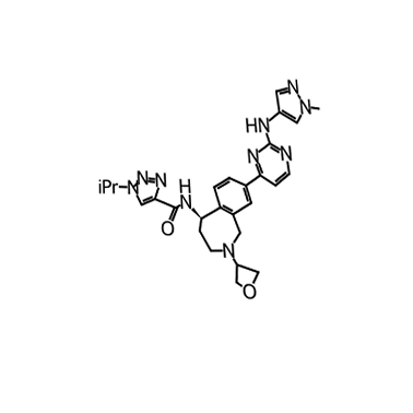 CC(C)n1cc(C(=O)N[C@@H]2CCN(C3COC3)Cc3cc(-c4ccnc(Nc5cnn(C)c5)n4)ccc32)nn1